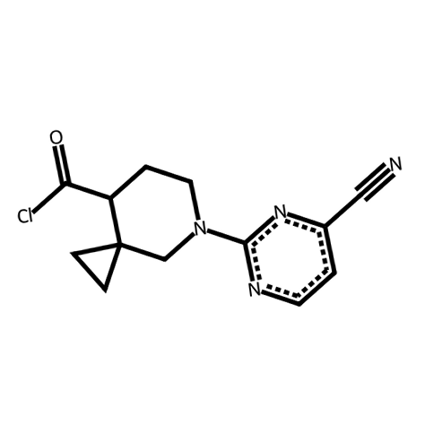 N#Cc1ccnc(N2CCC(C(=O)Cl)C3(CC3)C2)n1